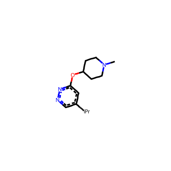 CC(C)c1cnnc(OC2CCN(C)CC2)c1